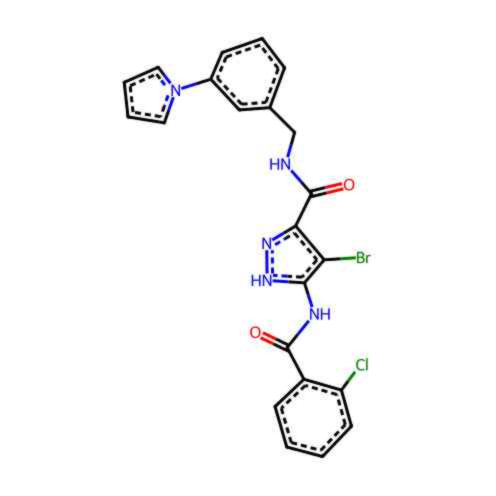 O=C(Nc1[nH]nc(C(=O)NCc2cccc(-n3cccc3)c2)c1Br)c1ccccc1Cl